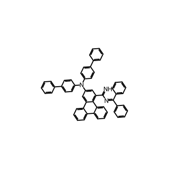 N=C(N=C(c1ccccc1)c1ccccc1)c1cc(N(c2ccc(-c3ccccc3)cc2)c2ccc(-c3ccccc3)cc2)cc2c3ccccc3c3ccccc3c12